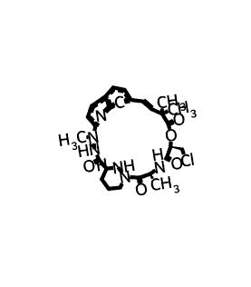 C[C@@H]1NC(=O)[C@H](CCl)OC(=O)C(C)(C)/C=C/c2ccc3ccc(nc3c2)N(C)NC(=O)[C@@H]2CCCN(N2)C1=O